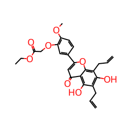 C=CCc1c(O)c(CC=C)c2oc(-c3ccc(OC)c(OCC(=O)OCC)c3)cc(=O)c2c1O